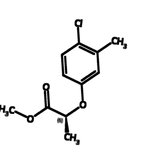 COC(=O)[C@H](C)Oc1ccc(Cl)c(C)c1